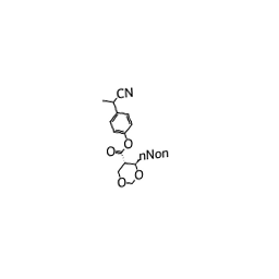 CCCCCCCCC[C@H]1OCOC[C@@H]1C(=O)Oc1ccc(C(C)C#N)cc1